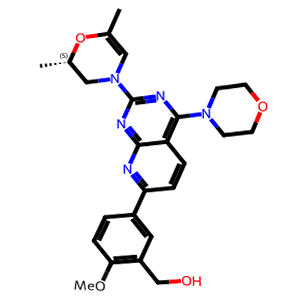 COc1ccc(-c2ccc3c(N4CCOCC4)nc(N4C=C(C)O[C@@H](C)C4)nc3n2)cc1CO